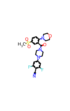 CS(=O)(=O)c1ccc(N2CCOCC2)c(C(=O)N2CCN(c3cc(F)c(C#N)c(F)c3)CC2)c1